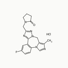 Cc1ncn2c1Cn1nc(CN3CCCC3=O)nc1-c1cc(F)ccc1-2.Cl